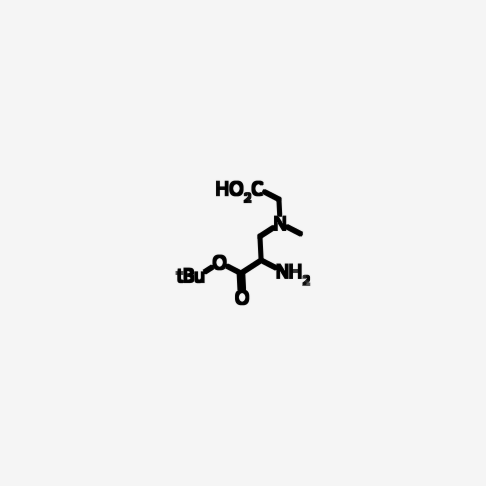 CN(CC(=O)O)CC(N)C(=O)OC(C)(C)C